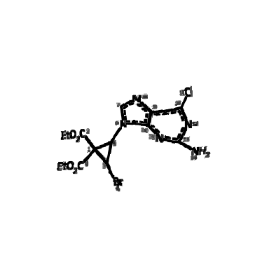 CCOC(=O)C1(C(=O)OCC)C(Br)C1n1cnc2c(Cl)nc(N)nc21